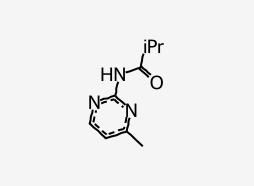 Cc1ccnc(NC(=O)C(C)C)n1